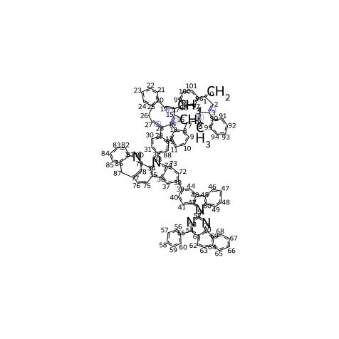 C=C(/C=C(\C=C(/C)Cc1ccccc1C1=C(C)/C(C)=C/c2ccccc2C/C=C\1c1ccc(-n2c3c(c4cc(-c5ccc6c(c5)c5ccccc5n6-c5nc(-c6ccccc6)c6ccc7ccccc7c6n5)ccc42)C=CC2=CC3=Nc3ccccc3C2)cc1)c1ccccc1)c1ccccc1